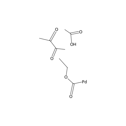 CC(=O)C(C)=O.CC(=O)O.CCO[C](=O)[Pd]